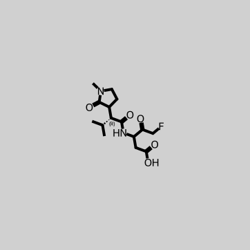 CC(C)[C@@H](C(=O)NC(CC(=O)O)C(=O)CF)C1CCN(C)C1=O